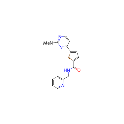 CNc1nccc(-c2ccc(C(=O)NCc3ccccn3)s2)n1